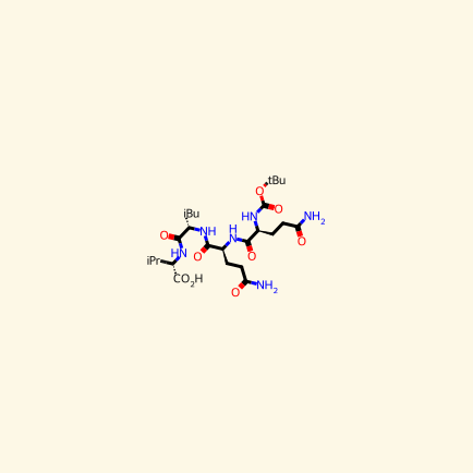 CCC(C)[C@H](NC(=O)[C@H](CCC(N)=O)NC(=O)[C@H](CCC(N)=O)NC(=O)OC(C)(C)C)C(=O)N[C@H](C(=O)O)C(C)C